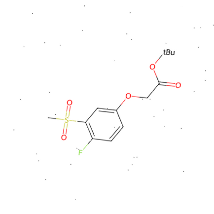 CC(C)(C)OC(=O)COc1ccc(F)c(S(C)(=O)=O)c1